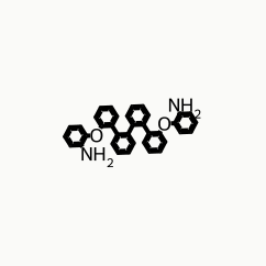 Nc1ccccc1Oc1ccccc1-c1ccccc1-c1ccccc1-c1ccccc1Oc1ccccc1N